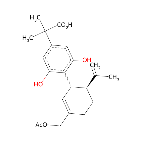 C=C(C)[C@H]1CCC(COC(C)=O)=C[C@@H]1c1c(O)cc(C(C)(C)C(=O)O)cc1O